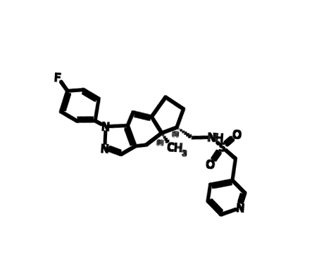 C[C@]12Cc3cnn(-c4ccc(F)cc4)c3C=C1CC[C@@H]2CNS(=O)(=O)Cc1cccnc1